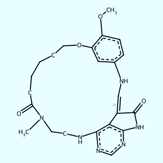 COc1ccc2cc1OCCCCCC(=O)N(C)CCNc1ncnc3c1/C(=C/N2)C(=O)N3